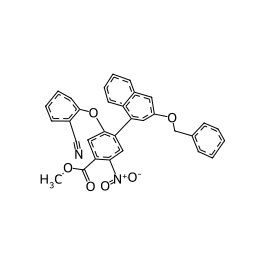 COC(=O)c1cc(Oc2ccccc2C#N)c(-c2cc(OCc3ccccc3)cc3ccccc23)cc1[N+](=O)[O-]